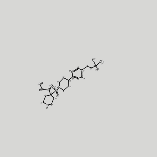 O=C(NO)C1(S(=O)(=O)N2CCC(c3cnc(CCC(F)(F)C(F)(F)F)cn3)CC2)CCOCC1